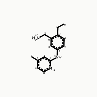 CCc1ccc(Nc2cc(C)ccn2)cc1CN